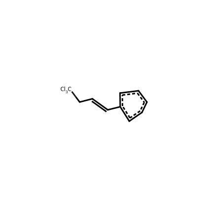 ClC(Cl)(Cl)CC=Cc1ccccc1